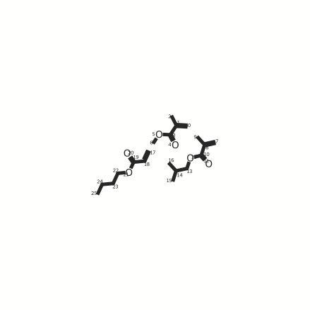 C=C(C)C(=O)OC.C=C(C)C(=O)OCC(C)C.C=CC(=O)OCCCC